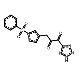 O=C(Cc1ccn(S(=O)(=O)c2ccccc2)c1)C(=O)c1nn[nH]n1